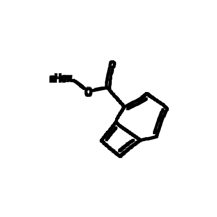 CCCCCCOC(=O)c1cccc2c1=CC=2